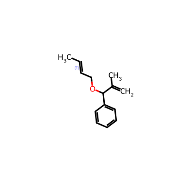 C=C(C)C(OC/C=C/C)c1ccccc1